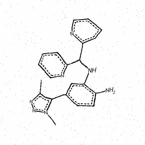 Cc1nnn(C)c1-c1ccc(N)c(NC(c2ccccn2)c2ccccn2)c1